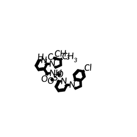 CC1CCN(c2ncccc2C(=O)NS(=O)(=O)c2cccc(N3CCc4cc(Cl)ccc43)n2)C1(C)C